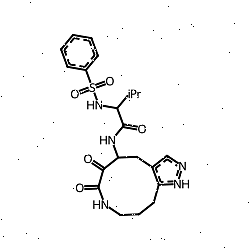 CC(C)C(NS(=O)(=O)c1ccccc1)C(=O)NC1Cc2cn[nH]c2CCCNC(=O)C1=O